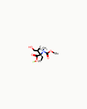 CC(C)C[C@@](C(=O)OF)(C(C)CO)N(C)C(=O)OC(C)(C)C